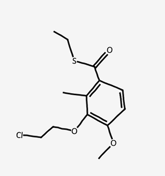 CCSC(=O)c1ccc(OC)c(OCCCl)c1C